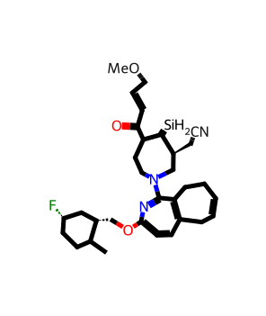 COC/C=C/C(=O)C1CCN(C2=NC(OC[C@H]3C[C@@H](F)CCC3C)=C=CC3=C2CCC=CC3)C[C@H](CC#N)C1=[SiH2]